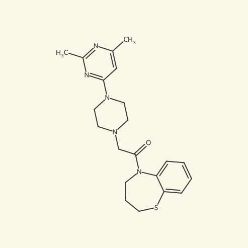 Cc1cc(N2CCN(CC(=O)N3CCCSc4ccccc43)CC2)nc(C)n1